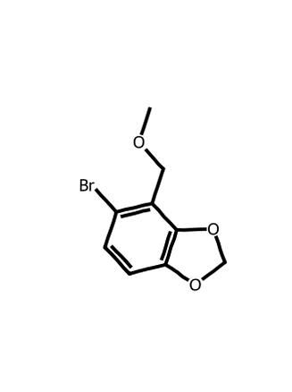 COCc1c(Br)ccc2c1OCO2